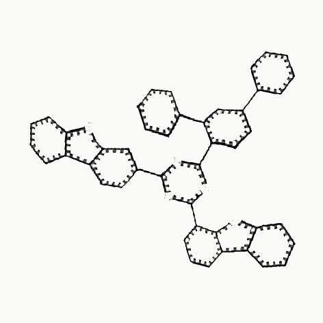 c1ccc(-c2ccc(-c3nc(-c4ccc5c(c4)sc4ccccc45)nc(-c4cccc5c4oc4ccccc45)n3)c(-c3ccccc3)c2)cc1